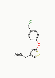 CSCc1csc(Oc2ccc(CCl)cc2)c1